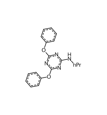 CCCNc1nc(Oc2ccccc2)nc(Oc2ccccc2)n1